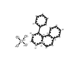 [O-][Cl+3]([O-])([O-])[O-].c1ccc(-c2ncn[n+]3ccc4ccccc4c23)cc1